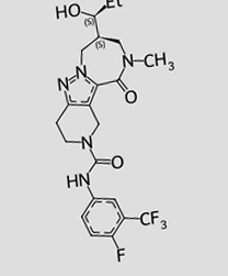 CC[C@H](O)[C@H]1CN(C)C(=O)c2c3c(nn2C1)CCN(C(=O)Nc1ccc(F)c(C(F)(F)F)c1)C3